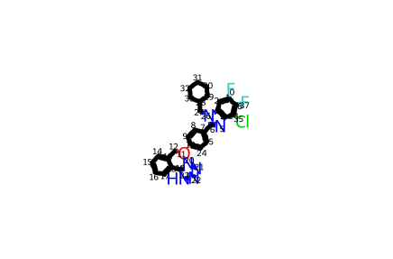 Fc1cc2c(nc(-c3ccc(OCc4ccccc4-c4nnn[nH]4)cc3)n2CC2CCCCC2)c(Cl)c1F